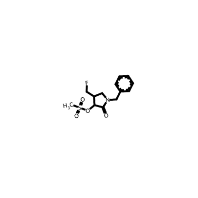 CS(=O)(=O)OC1C(=O)N(Cc2ccccc2)CC1CF